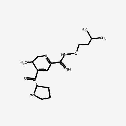 [CH2]C1CN=C(C(=N)NOCCC(C)C)C=C1C(=O)[C@@H]1CCCN1